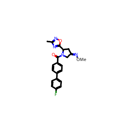 CON=C1CC(c2nc(C)no2)N(C(=O)c2ccc(-c3ccc(F)cc3)cc2)C1